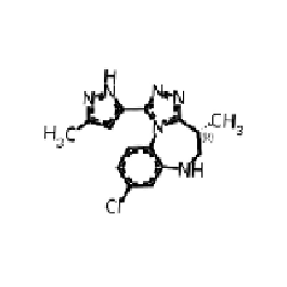 Cc1cc(-c2nnc3n2-c2ccc(Cl)cc2NC[C@H]3C)[nH]n1